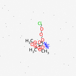 CC(=O)OCC1O[C@H](OCCOCCOCCCl)C(N=[N+]=[N-])C(OC(C)=O)[C@H]1OC(C)=O